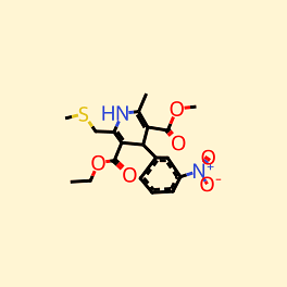 CCOC(=O)C1=C(CSC)NC(C)=C(C(=O)OC)C1c1cccc([N+](=O)[O-])c1